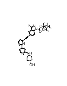 CC(C)(C)OC(=O)n1nc(F)c2cc(C#Cc3ccnc(-c4ccnc(N[C@H]5CC[C@@H](O)CC5)n4)n3)ccc21